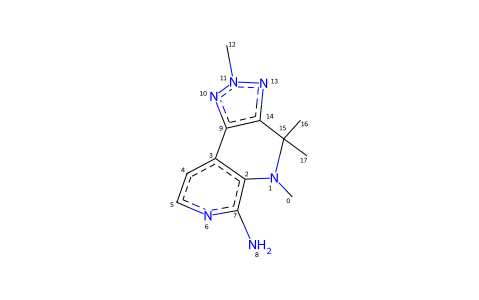 CN1c2c(ccnc2N)-c2nn(C)nc2C1(C)C